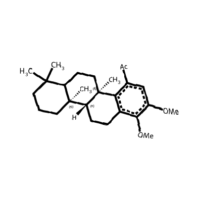 COc1cc(C(C)=O)c2c(c1OC)CC[C@H]1[C@@]2(C)CCC2C(C)(C)CCC[C@@]21C